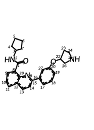 O=C(NC1CCCC1)c1cccc2ccc(-c3cccc(OC4CCNC4)c3)nc12